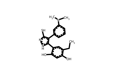 CCc1cc(-c2[nH]nc(S)c2-c2cccc(N(C)C)c2)c(O)cc1O